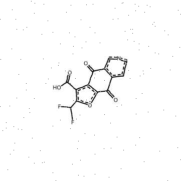 O=C1c2ccncc2C(=O)c2c1oc(C(F)F)c2C(=O)O